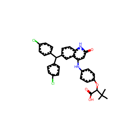 CC(C)(C)C(Oc1ccc(Nc2cc(=O)[nH]c3ccc(C(c4ccc(Cl)cc4)c4ccc(Cl)cc4)cc23)cc1)C(=O)O